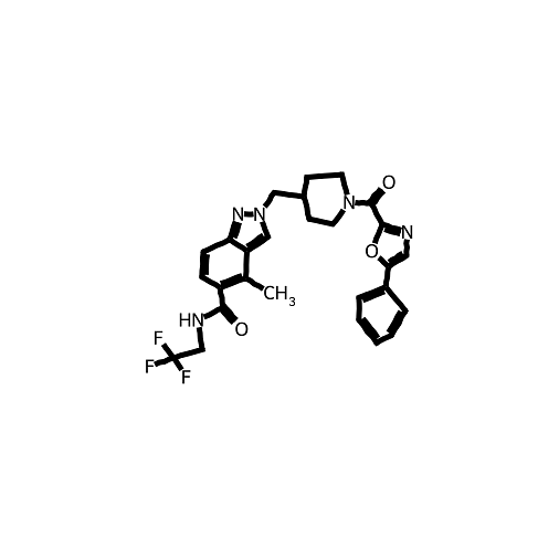 Cc1c(C(=O)NCC(F)(F)F)ccc2nn(CC3CCN(C(=O)c4ncc(-c5ccccc5)o4)CC3)cc12